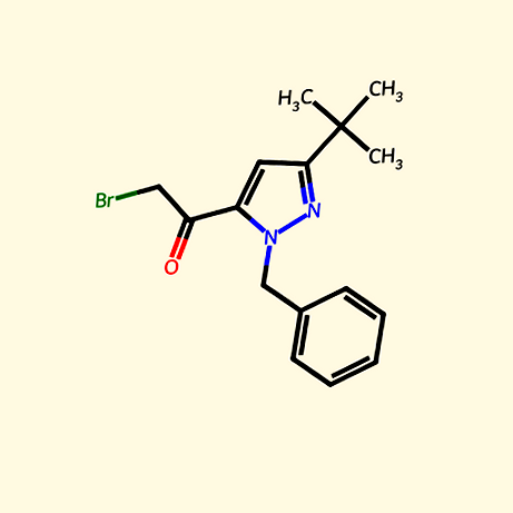 CC(C)(C)c1cc(C(=O)CBr)n(Cc2ccccc2)n1